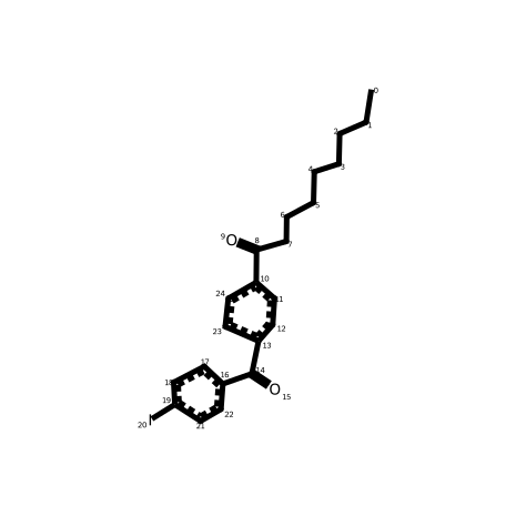 CCCCCCCCC(=O)c1ccc(C(=O)c2ccc(I)cc2)cc1